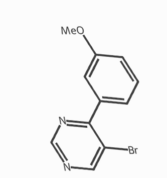 COc1cccc(-c2ncncc2Br)c1